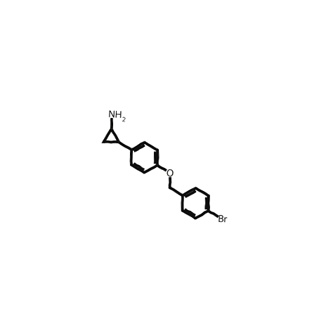 NC1CC1c1ccc(OCc2ccc(Br)cc2)cc1